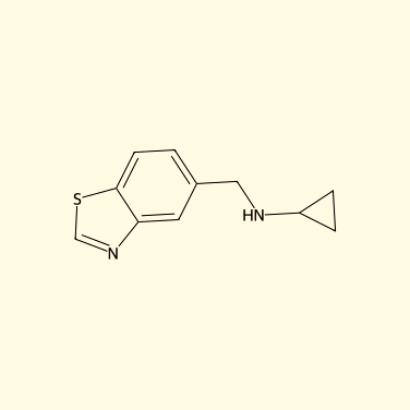 c1nc2cc(CNC3CC3)ccc2s1